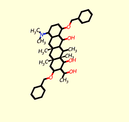 CC(O)C1C(OCC2CCCCC2)C[C@]2(C)C[C@]3(C)CC4C(C(OCC5CCCCC5)CCC4N(C)C)C(O)C3C(C)[C@]2(C)C1O